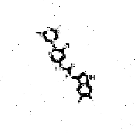 C[C@@H]1CN(c2ncc(NC(=O)Nc3c[nH]c4cc(F)c(F)cc34)cc2Cl)C[C@@H](C)O1